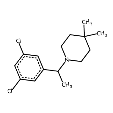 CC(c1cc(Cl)cc(Cl)c1)N1CCC(C)(C)CC1